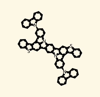 c1ccc2c(c1)sc1cc3c4cc5c(cc4n4c6ccc(-n7c8ccccc8c8ccccc87)cc6c(c12)c34)c1cc2sc3ccccc3c2c2c3cc(-n4c6ccccc6c6ccccc64)ccc3n5c12